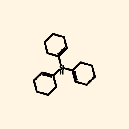 C1=C([SiH](C2=CCCCC2)C2=CCCCC2)CCCC1